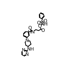 O=C(CCNC(=O)c1cccc(N2CCC(Nc3ncccn3)CC2)c1)ONS(=O)(=O)c1ccccc1